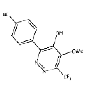 COc1c(C(F)(F)F)nnc(-c2ccc(C#N)cc2)c1O